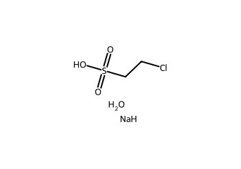 O.O=S(=O)(O)CCCl.[NaH]